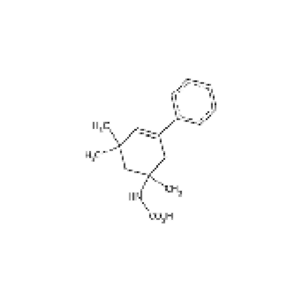 CC1(C)C=C(c2ccccc2)CC(C)(NC(=O)O)C1